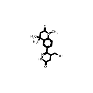 CN1C(=O)CC(C)(C)c2cc(C3=NNC(=O)CC3CO)ccc21